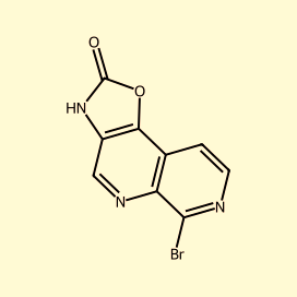 O=c1[nH]c2cnc3c(Br)nccc3c2o1